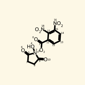 O=C(O[N+]1(O)C(=O)CCC1=O)c1cccc([N+](=O)[O-])c1[N+](=O)[O-]